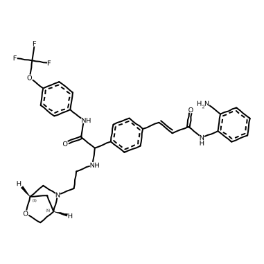 Nc1ccccc1NC(=O)C=Cc1ccc(C(NCCN2C[C@@H]3C[C@H]2CO3)C(=O)Nc2ccc(OC(F)(F)F)cc2)cc1